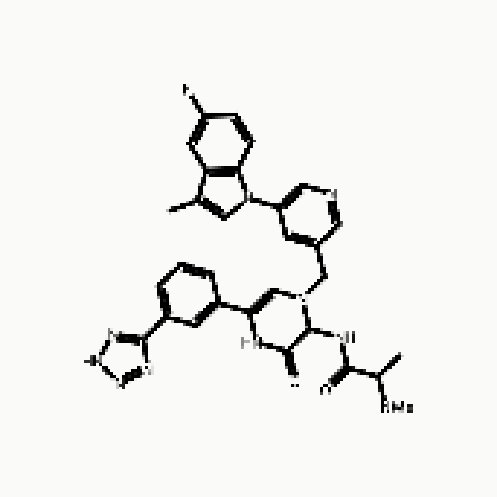 CNC(C)C(=O)NC1C(=O)NC(c2cccc(-c3nn[nH]n3)c2)=CN1Cc1cncc(-n2cc(C)c3cc(F)ccc32)c1